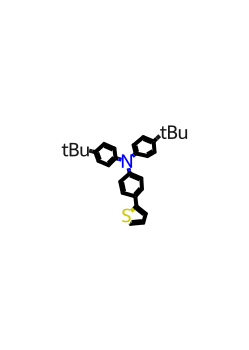 CC(C)(C)c1ccc(N(c2ccc(-c3cccs3)cc2)c2ccc(C(C)(C)C)cc2)cc1